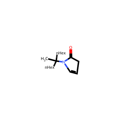 CCCCCCC(C)(CCCCCC)N1C=CCC1=O